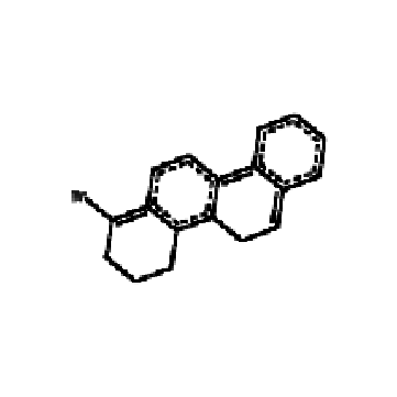 BrC1=c2ccc3c(c2CCC1)CC=c1ccccc1=3